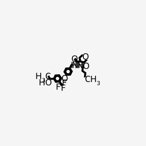 CCCCC(=O)NC1(C(=O)NCc2ccc(Oc3ccc(C(C)O)cc3C(F)(F)F)cc2)CCOCC1